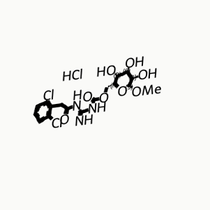 CO[C@H]1O[C@H](COC(=O)NC(=N)NC(=O)Cc2c(Cl)cccc2Cl)[C@H](O)[C@H](O)[C@H]1O.Cl